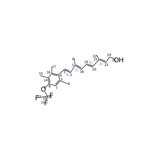 CC(/C=C/c1c(C)cc(OC(F)(F)F)c(C)c1C)=C\C=C\C(C)=C\CO